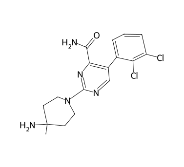 CC1(N)CCN(c2ncc(-c3cccc(Cl)c3Cl)c(C(N)=O)n2)CC1